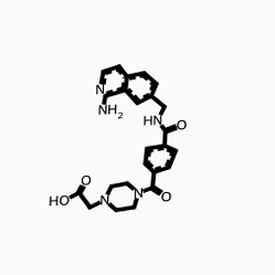 Nc1nccc2ccc(CNC(=O)c3ccc(C(=O)N4CCN(CC(=O)O)CC4)cc3)cc12